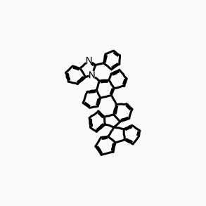 c1ccc(-c2nc3ccccc3n2-c2c3ccccc3c(-c3cccc4c3-c3ccccc3C43c4ccccc4-c4ccccc43)c3ccccc23)cc1